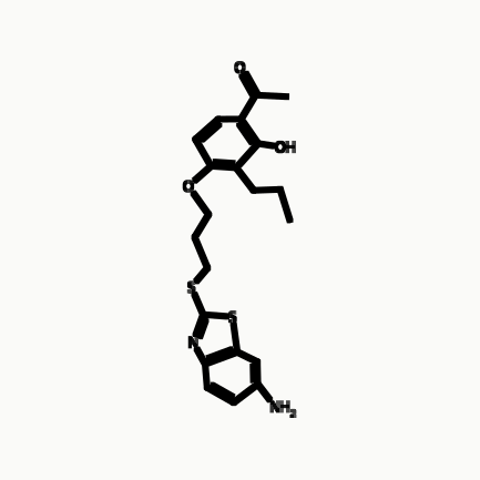 CCCc1c(OCCCSc2nc3ccc(N)cc3s2)ccc(C(C)=O)c1O